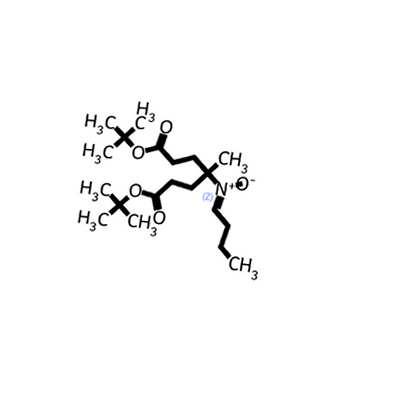 CCC/C=[N+](\[O-])C(C)(CCC(=O)OC(C)(C)C)CCC(=O)OC(C)(C)C